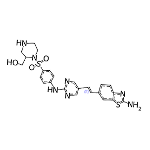 Nc1nc2ccc(/C=C/c3cnc(Nc4ccc(S(=O)(=O)N5CCNCC5CO)cc4)nc3)cc2s1